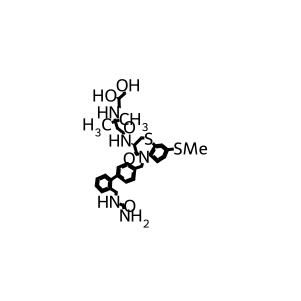 CSc1ccc2c(c1)SC[C@@H](NC(=O)CC(C)(C)NC[C@H](O)CO)C(=O)N2Cc1ccc(-c2ccccc2CNC(N)=O)cc1